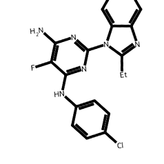 CCc1nc2ccccc2n1-c1nc(N)c(F)c(Nc2ccc(Cl)cc2)n1